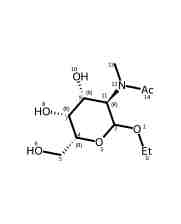 CCOC1O[C@H](CO)[C@H](O)[C@H](O)[C@H]1N(C)C(C)=O